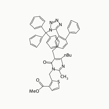 CCCCc1nc(C)n(Cc2sccc2C(=O)OC)c(=O)c1Cc1ccc(-c2ccccc2)c(-c2nnnn2C(c2ccccc2)(c2ccccc2)c2ccccc2)c1